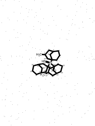 CC1CC2CCCC(P(=N)(C3(C)CC4CCCC(C4)C3)C34CCCC(CC(C)C3)C4)(C1)C2